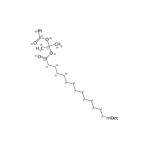 CCCCCCCCCCCCCCCCCCCCCCCC(=O)OC(C)(C)OC(=O)C(C)C